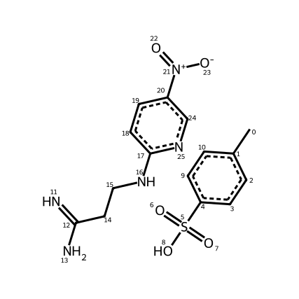 Cc1ccc(S(=O)(=O)O)cc1.N=C(N)CCNc1ccc([N+](=O)[O-])cn1